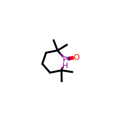 CC1(C)CCCC(C)(C)[PH]1=O